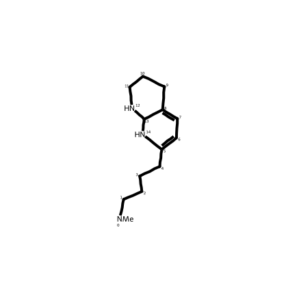 CNCCCCC1=CC=C2CCCNC2N1